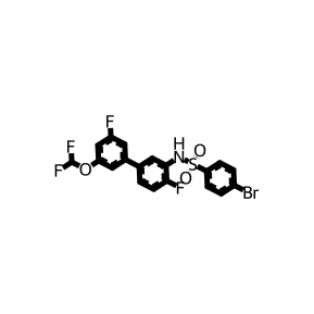 O=S(=O)(Nc1cc(-c2cc(F)cc(OC(F)F)c2)ccc1F)c1ccc(Br)cc1